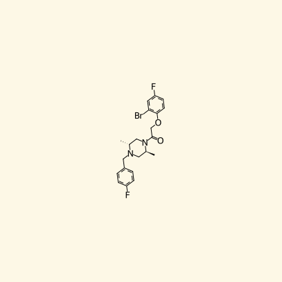 C[C@@H]1CN(C(=O)COc2ccc(F)cc2Br)[C@@H](C)CN1Cc1ccc(F)cc1